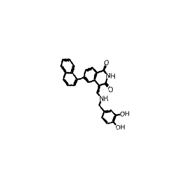 O=C1NC(=O)c2ccc(-c3cccc4ccccc34)cc2C1=CNCc1ccc(O)c(O)c1